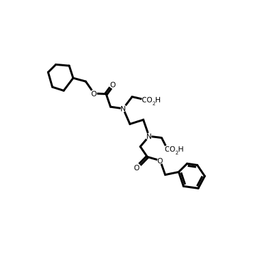 O=C(O)CN(CCN(CC(=O)O)CC(=O)OCC1CCCCC1)CC(=O)OCc1ccccc1